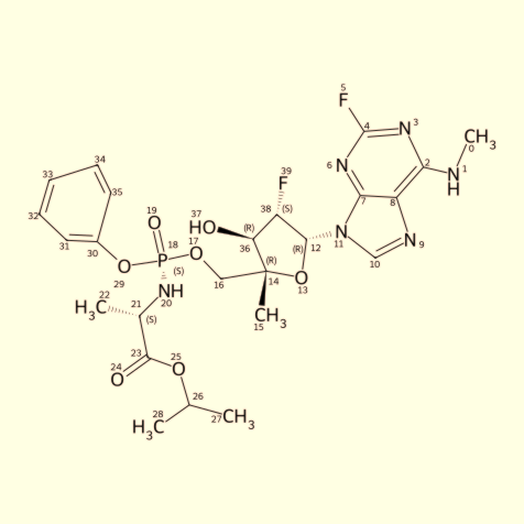 CNc1nc(F)nc2c1ncn2[C@@H]1O[C@](C)(CO[P@@](=O)(N[C@@H](C)C(=O)OC(C)C)Oc2ccccc2)[C@@H](O)[C@@H]1F